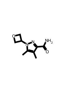 Cc1c(C(N)=O)nn(C2COC2)c1C